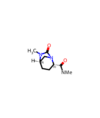 CNC(=O)[C@@H]1CC[C@@H]2CN1C(=O)N2C